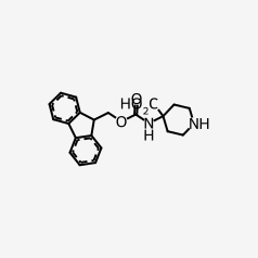 O=C(NC1(C(=O)O)CCNCC1)OCC1c2ccccc2-c2ccccc21